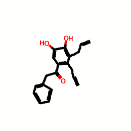 C=CCc1c(C(=O)Cc2ccccc2)cc(O)c(O)c1CC=C